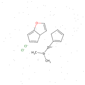 C1=CC2C=COC2=C1.C[Si](C)[Zr+2][C]1=CC=CC1.[Cl-].[Cl-]